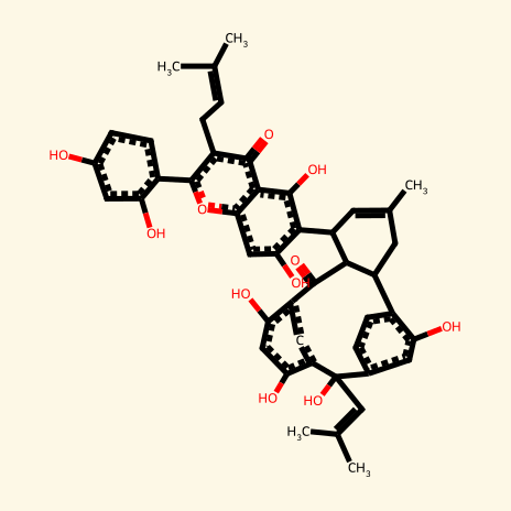 CC(C)=CCc1c(-c2ccc(O)cc2O)oc2cc(O)c(C3C=C(C)CC4c5ccc(cc5O)C(O)(C=C(C)C)c5cc(c(O)cc5O)C(=O)C34)c(O)c2c1=O